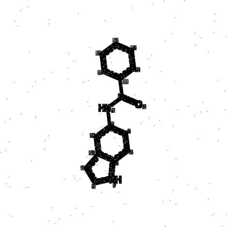 O=C(Nc1ccc2[nH]ccc2c1)c1cc[c]cc1